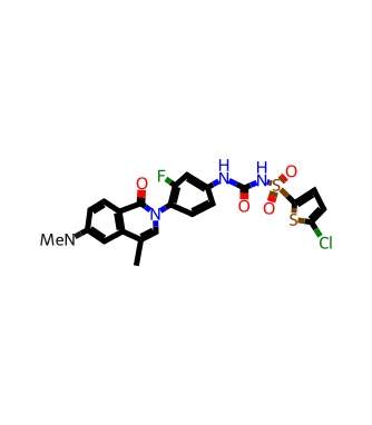 CNc1ccc2c(=O)n(-c3ccc(NC(=O)NS(=O)(=O)c4ccc(Cl)s4)cc3F)cc(C)c2c1